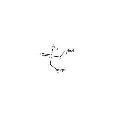 CCCCCCCCP(C)(=O)CCCCCCCC